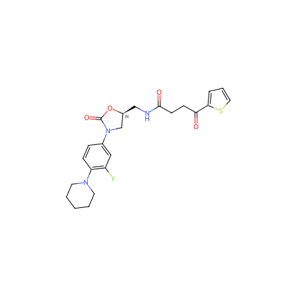 O=C(CCC(=O)c1cccs1)NC[C@H]1CN(c2ccc(N3CCCCC3)c(F)c2)C(=O)O1